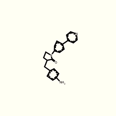 Nc1ccc(CC2CCN(c3ccc(-c4ccncc4)cc3)C2=O)cc1